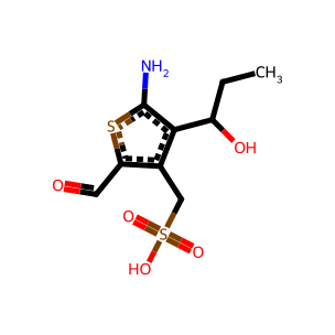 CCC(O)c1c(N)sc(C=O)c1CS(=O)(=O)O